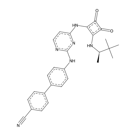 C[C@@H](Nc1c(Nc2ccnc(Nc3ccc(-c4ccc(C#N)cc4)cc3)n2)c(=O)c1=O)C(C)(C)C